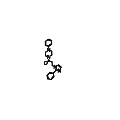 O=C(CCn1ccnc1-c1ccccc1)N1CCN(c2ccccc2)CC1